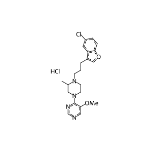 COc1cncnc1N1CCN(CCCc2coc3ccc(Cl)cc23)C(C)C1.Cl